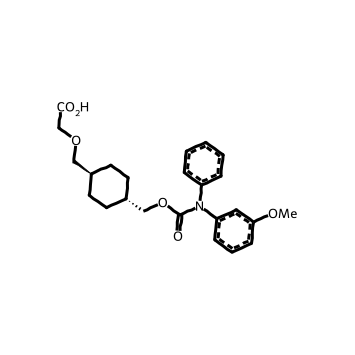 COc1cccc(N(C(=O)OC[C@H]2CC[C@H](COCC(=O)O)CC2)c2ccccc2)c1